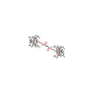 C[Si](C)(C)O[Si](C)(CCCOC(=O)C=CC(=O)OCCC[Si](C)(O[Si](C)(C)C)O[Si](C)(C)C)O[Si](C)(C)C